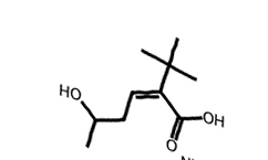 CC(O)CC=C(C(=O)O)C(C)(C)C.N